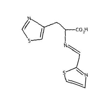 O=C(O)C(Cc1cscn1)N=Cc1nccs1